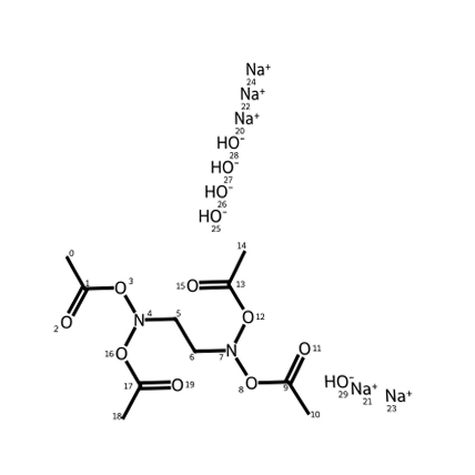 CC(=O)ON(CCN(OC(C)=O)OC(C)=O)OC(C)=O.[Na+].[Na+].[Na+].[Na+].[Na+].[OH-].[OH-].[OH-].[OH-].[OH-]